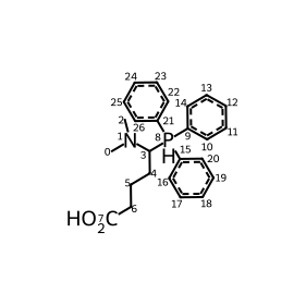 CN(C)C(CCCC(=O)O)[PH](c1ccccc1)(c1ccccc1)c1ccccc1